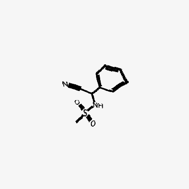 CS(=O)(=O)NC(C#N)c1ccccc1